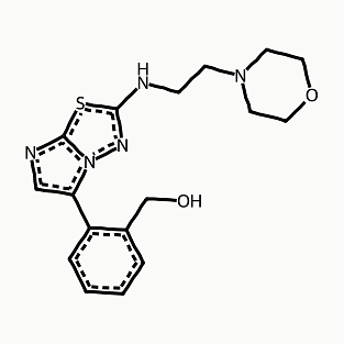 OCc1ccccc1-c1cnc2sc(NCCN3CCOCC3)nn12